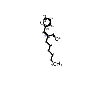 CCCCCC/C(C=O)=C/c1ccco1